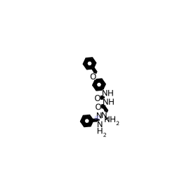 N/C(=N\N(N)CC(=O)NC(=O)Nc1ccc(OCc2ccccc2)cc1)c1ccccc1